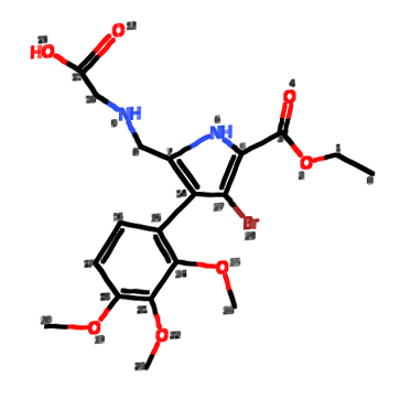 CCOC(=O)c1[nH]c(CNCC(=O)O)c(-c2ccc(OC)c(OC)c2OC)c1Br